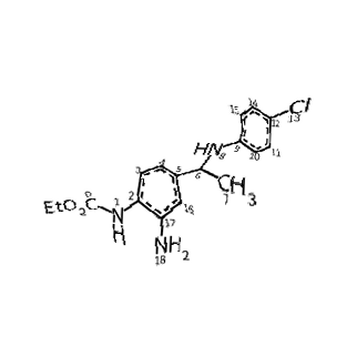 CCOC(=O)Nc1ccc(C(C)Nc2ccc(Cl)cc2)cc1N